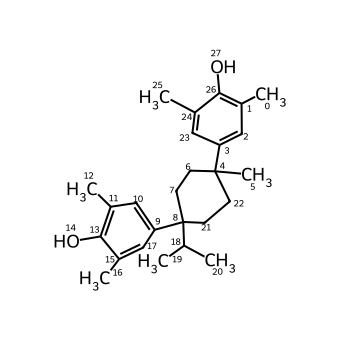 Cc1cc(C2(C)CCC(c3cc(C)c(O)c(C)c3)(C(C)C)CC2)cc(C)c1O